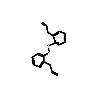 C=CCc1ccccc1SSc1ccccc1CC=C